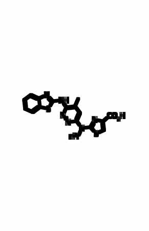 CCCN(c1cc(C)c(Nc2nc3ccccc3s2)nn1)c1nc(C(=O)O)cs1